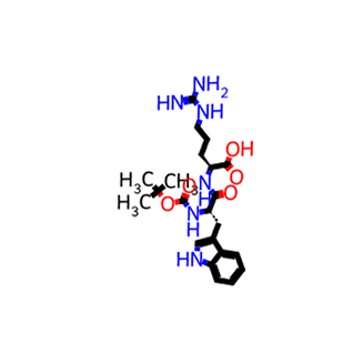 CC(C)(C)OC(=O)N[C@@H](Cc1c[nH]c2ccccc12)C(=O)N[C@@H](CCCNC(=N)N)C(=O)O